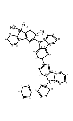 C[C@@H]1CC2=C(C=C1n1c3c(c4ccccc41)=CC(C1=CCC4C(=C1)c1ccccc1N4C1=CC(C4=CCCC=C4)=CCC1)CC=3)C1=C(CCC=C1)C2(C)C